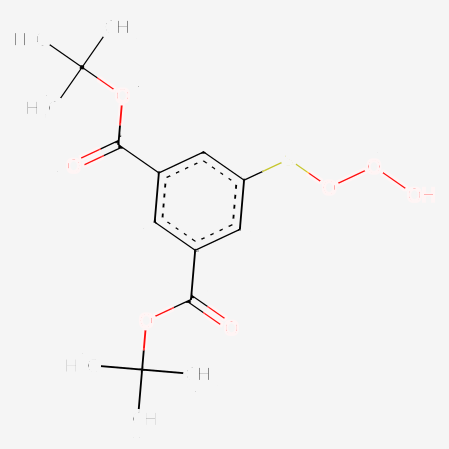 CC(C)(C)OC(=O)c1cc(SOOO)cc(C(=O)OC(C)(C)C)c1